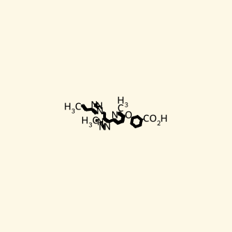 C/C=C/c1cn(Cc2c(-c3ccc(O[C@H]4CCC[C@H](C(=O)O)C4)c(C)n3)nnn2C)nn1